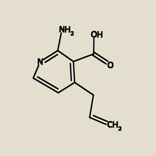 C=CCc1ccnc(N)c1C(=O)O